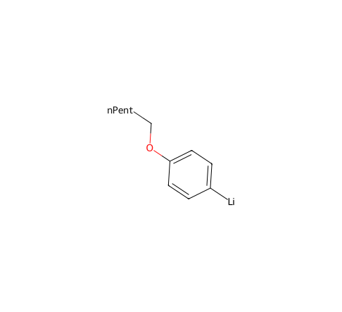 [Li][c]1ccc(OCCCCCC)cc1